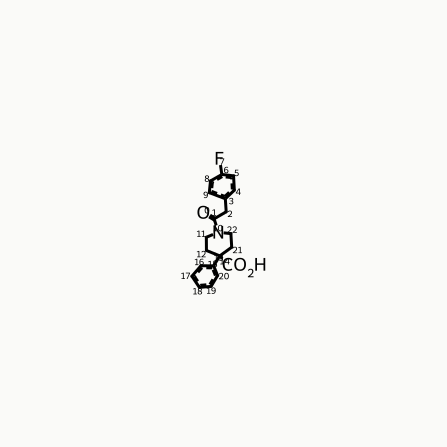 O=C(Cc1ccc(F)cc1)N1CCC(C(=O)O)(c2ccccc2)CC1